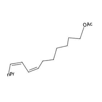 CCC/C=C\C=C/CCCCCCOC(C)=O